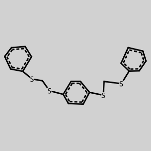 c1ccc(SCSc2ccc(SCSc3ccccc3)cc2)cc1